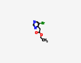 CCOC(=O)Cc1ncncc1Br